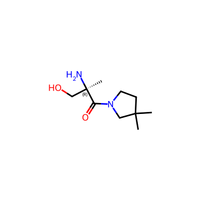 CC1(C)CCN(C(=O)[C@](C)(N)CO)C1